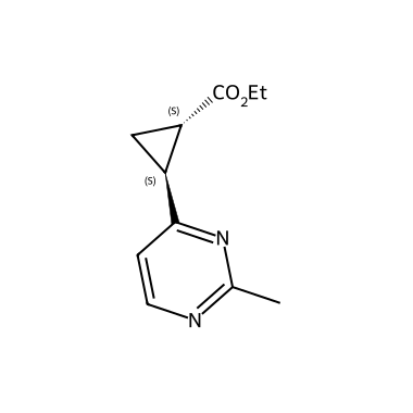 CCOC(=O)[C@H]1C[C@@H]1c1ccnc(C)n1